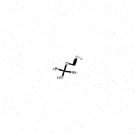 C=COC(O)(CCC)CCCC